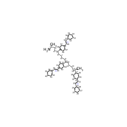 CC(N)CCC(CCCCC(CCCCC(C)c1ccc(/C=C/c2ccccc2)cc1)c1ccc(/C=C/c2ccccc2)cc1)c1ccc(/C=C/c2ccccc2)cc1